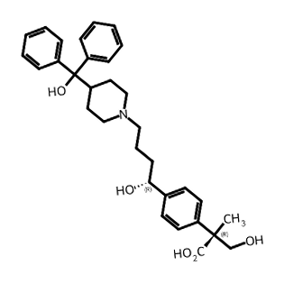 C[C@@](CO)(C(=O)O)c1ccc([C@H](O)CCCN2CCC(C(O)(c3ccccc3)c3ccccc3)CC2)cc1